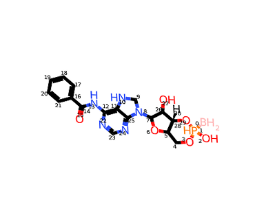 B[PH]1(O)OCC2OC(N3CNc4c(NC(=O)c5ccccc5)ncnc43)C(O)[C@@H]2O1